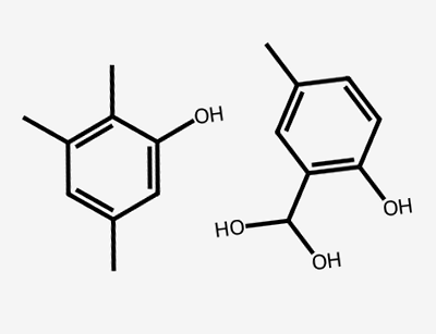 Cc1cc(C)c(C)c(O)c1.Cc1ccc(O)c(C(O)O)c1